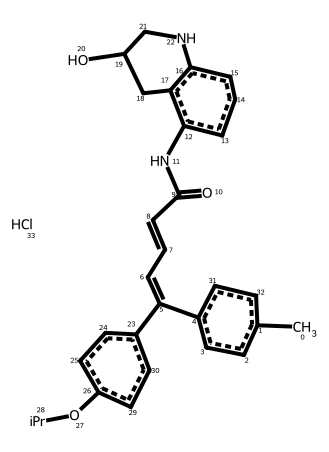 Cc1ccc(/C(=C\C=C\C(=O)Nc2cccc3c2CC(O)CN3)c2ccc(OC(C)C)cc2)cc1.Cl